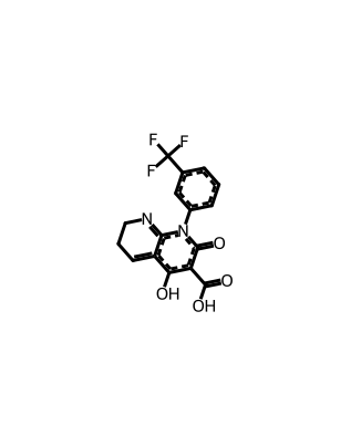 O=C(O)c1c(O)c2c(n(-c3cccc(C(F)(F)F)c3)c1=O)=NCCC=2